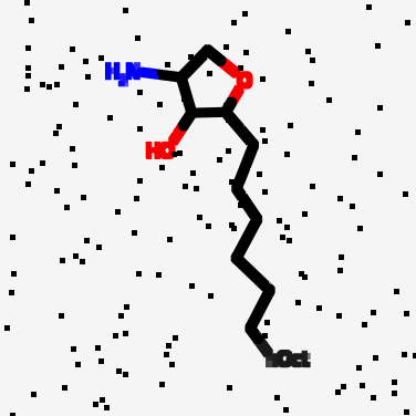 CCCCCCCCCCCCCCC1OCC(N)C1O